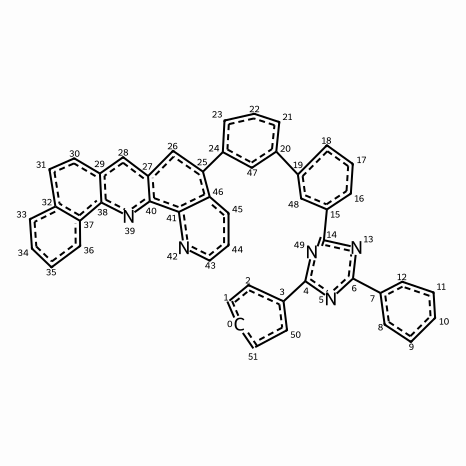 c1ccc(-c2nc(-c3ccccc3)nc(-c3cccc(-c4cccc(-c5cc6cc7ccc8ccccc8c7nc6c6ncccc56)c4)c3)n2)cc1